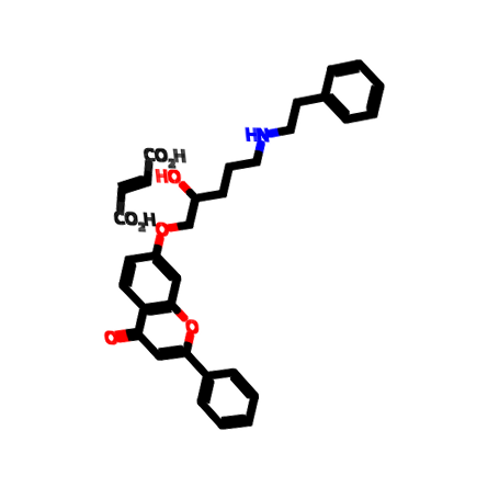 O=C(O)C=CC(=O)O.O=c1cc(-c2ccccc2)oc2cc(OCC(O)CCCNCCc3ccccc3)ccc12